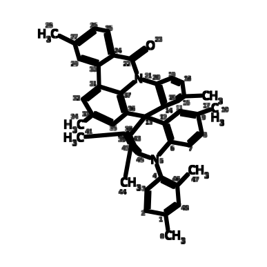 Cc1ccc(N2c3ccc(C)cc3C3(c4cc(C)ccc4-n4c(=O)c5ccc(C)cc5c5cc(C)cc3c54)c3cc(C)cc(C)c32)c(C)c1